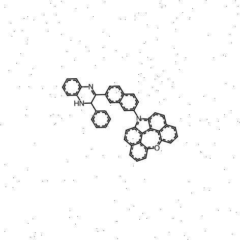 c1ccc(C2Nc3ccccc3N=C2c2ccc3ccc(-n4c5ccc6cccc7oc8cccc9ccc4c(c98)c5c67)cc3c2)cc1